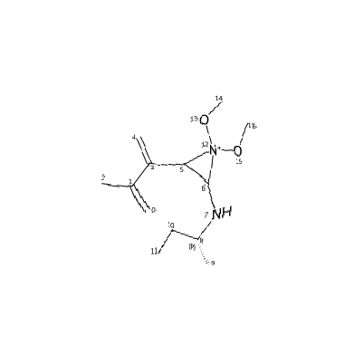 C=C(C)C(=C)C1C(N[C@H](C)CC)[N+]1(OC)OC